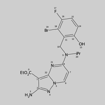 CCOC(=O)c1c(N)nn2ccc(N(Cc3c(O)ccc(F)c3Br)C(C)C)nc12